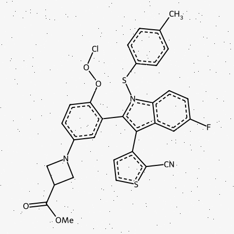 COC(=O)C1CN(c2ccc(OOCl)c(-c3c(-c4ccsc4C#N)c4cc(F)ccc4n3Sc3ccc(C)cc3)c2)C1